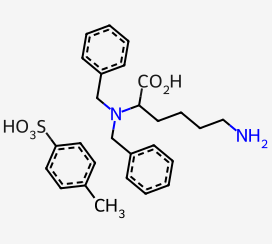 Cc1ccc(S(=O)(=O)O)cc1.NCCCCC(C(=O)O)N(Cc1ccccc1)Cc1ccccc1